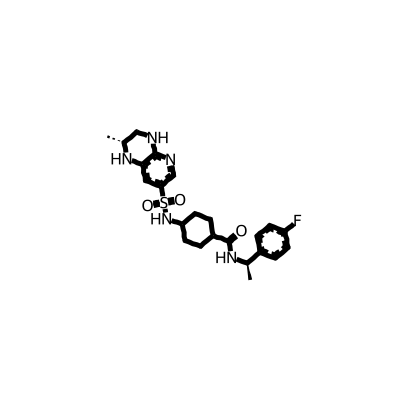 C[C@@H]1CNc2ncc(S(=O)(=O)NC3CCC(C(=O)N[C@H](C)c4ccc(F)cc4)CC3)cc2N1